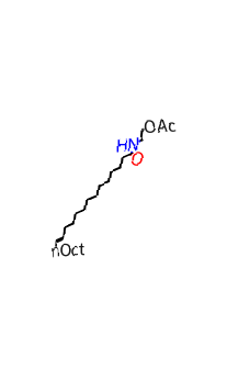 CCCCCCCCC=CCCCCCCCCCCCC(=O)NCCOC(C)=O